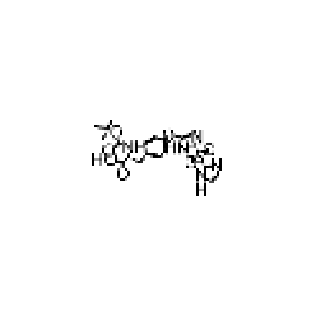 CC(C)(C)OC(=O)N[C@@H](Cc1ccc(Oc2cnc(S(=O)(=O)c3ncc[nH]3)[nH]2)cc1)C(=O)O